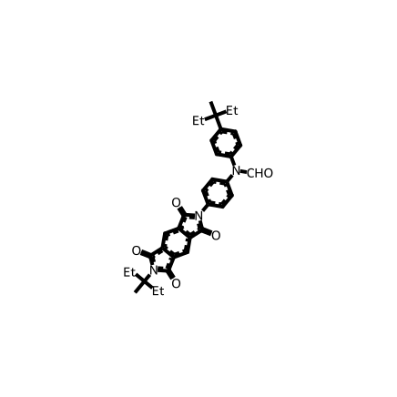 CCC(C)(CC)c1ccc(N(C=O)c2ccc(-n3c(=O)c4cc5c(=O)n(C(C)(CC)CC)c(=O)c5cc4c3=O)cc2)cc1